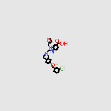 O=C(O)c1ccc2nc(CN3CCc4ccc(OCc5cccc(Cl)c5F)cc4C3)n(C[C@@H]3CCO3)c2c1